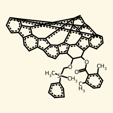 Cc1cccc(C)c1C(=O)OC1c2c3ccc4c5ccc6c7ccc8c9ccc%10c(c%11c2c2c3c4c3c5c6c4c7c8c5c9c%10c%11c6c2c3c4c56)C1OC[Si](C)(C)c1ccccc1